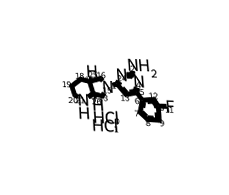 Cl.Cl.Nc1nc(-c2cccc(F)c2)cc(N2C[C@H]3CCCN[C@H]3C2)n1